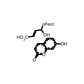 CCCCCC(O)C=CC(=O)O.O=c1ccc2ccc(O)cc2o1